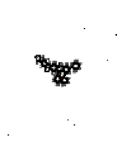 C=Cc1ccc2c(c1)oc1cc(N(c3ccccc3)c3c(F)cc(-c4ccccc4)cc3-c3ccccc3)ccc12